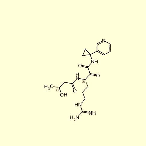 C[C@@H](O)CC(=O)N[C@@H](CCCNC(=N)N)C(=O)C(=O)NC1(c2cccnc2)CC1